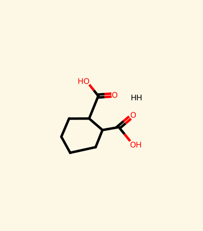 O=C(O)C1CCCCC1C(=O)O.[HH]